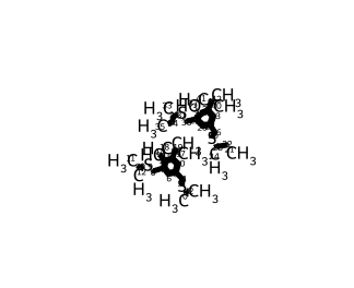 CC(C)SCc1cc(CSC(C)C)c(O)c(C(C)(C)C)c1.CCC(C)SCc1cc(CSC(C)CC)c(O)c(C(C)(C)C)c1